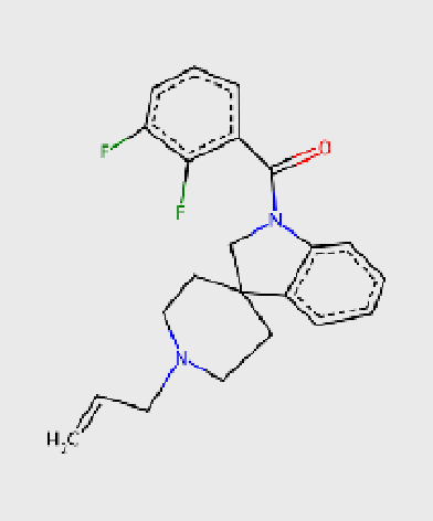 C=CCN1CCC2(CC1)CN(C(=O)c1cccc(F)c1F)c1ccccc12